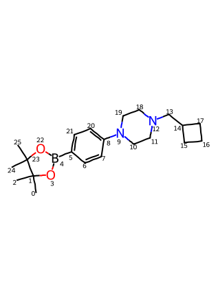 CC1(C)OB(c2ccc(N3CCN(CC4CCC4)CC3)cc2)OC1(C)C